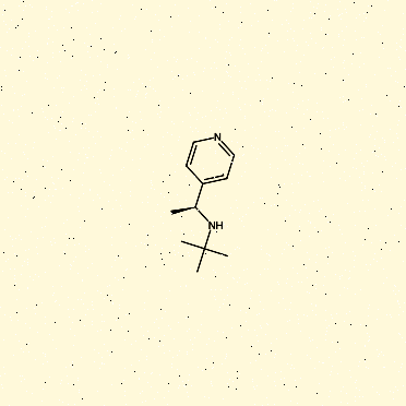 C[C@H](NC(C)(C)C)c1ccncc1